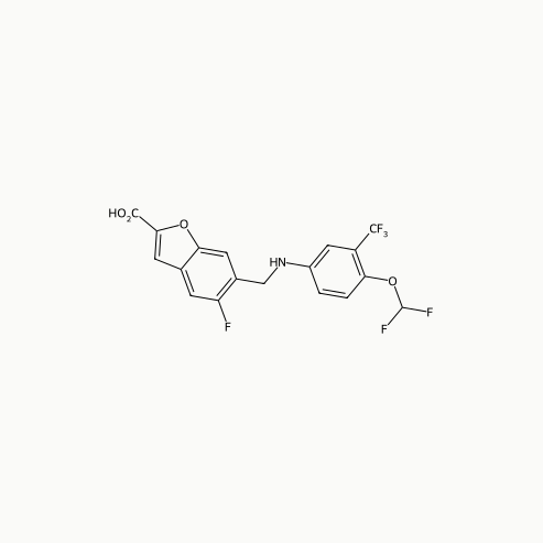 O=C(O)c1cc2cc(F)c(CNc3ccc(OC(F)F)c(C(F)(F)F)c3)cc2o1